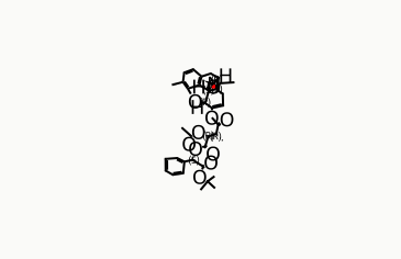 CC(=O)O[C@@H](C(=O)O[C@H](C(=O)OC(C)(C)C)c1ccccc1)[C@@H](C)C(=O)OC1=CC[C@@]2(O)[C@H]3Cc4ccc(C)c5c4[C@@]2(CCN3C)[C@H]1O5